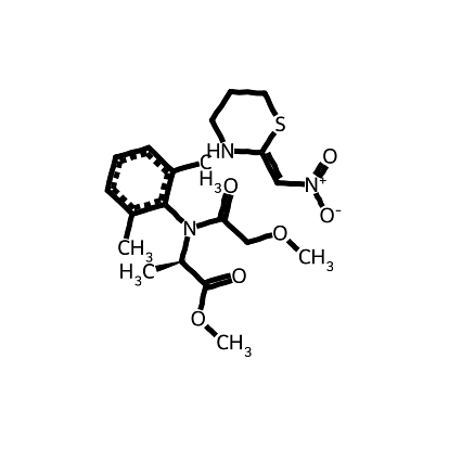 COCC(=O)N(c1c(C)cccc1C)[C@H](C)C(=O)OC.O=[N+]([O-])/C=C1/NCCCS1